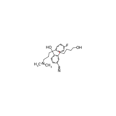 CN(C)CCCC(O)(c1ccc(F)cc1)c1ccc(C#N)cc1CCCCCO